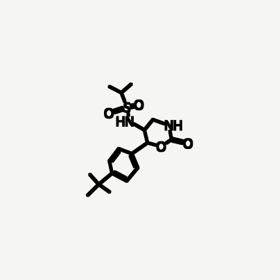 CC(C)S(=O)(=O)NC1CNC(=O)OC1c1ccc(C(C)(C)C)cc1